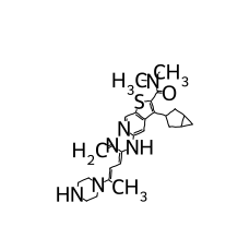 C=N/C(=C\C=C(/C)N1CCNCC1)Nc1cc2c(C3CC4CC4C3)c(C(=O)N(C)C)sc2cn1